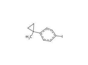 [CH2]C1(c2ccc(I)cc2)CC1